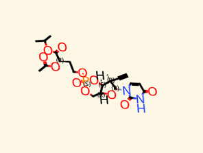 C#C[C@]1(C)[C@@H]2O[P@@](=O)(OCC[C@@H](OC(C)=O)C(=O)OC(C)C)OC[C@H]2O[C@H]1n1ccc(=O)[nH]c1=O